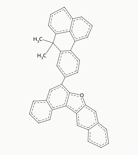 CC1(C)c2cc(-c3cc4ccccc4c4c3oc3cc5ccccc5cc34)ccc2-c2cccc3cccc1c23